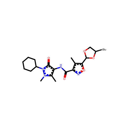 Cc1c(C(=O)Nc2c(C)n(C)n(C3CCCCC3)c2=O)noc1C1OCC(C(C)(C)C)O1